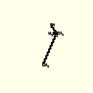 CCCCCCCCCCCCCCCCCCO[Si](C)(C)CCCCS